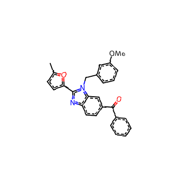 COc1cccc(Cn2c(-c3ccc(C)o3)nc3ccc(C(=O)c4ccccc4)cc32)c1